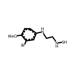 COc1ccc(NCCNS)cc1Br